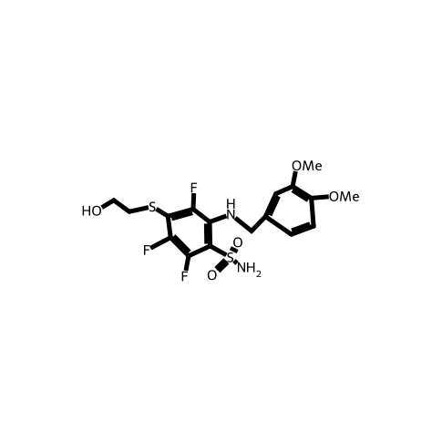 COc1ccc(CNc2c(F)c(SCCO)c(F)c(F)c2S(N)(=O)=O)cc1OC